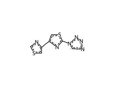 [c]1nnnn1-c1nc(-c2cscn2)cs1